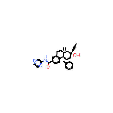 CC#C[C@@]1(O)CC[C@@]2(Cc3ccccc3)c3ccc(C(=O)Nc4cnccn4)cc3CC[C@@H]2C1